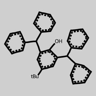 CC(C)(C)c1cc(C(c2ccccc2)c2ccccc2)c(O)c(C(c2ccccc2)c2ccccc2)c1